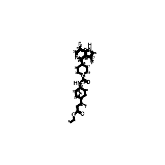 CCOC(=O)C[C@H](C)C12CCC(NC(=O)N3CCC(c4ncc(F)c5[nH]cc(F)c45)CC3)(CC1)CC2